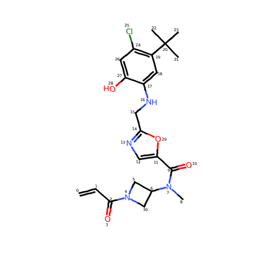 C=CC(=O)N1CC(N(C)C(=O)c2cnc(CNc3cc(C(C)(C)C)c(Cl)cc3O)o2)C1